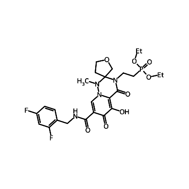 CCOP(=O)(CCN1C(=O)c2c(O)c(=O)c(C(=O)NCc3ccc(F)cc3F)cn2N(C)C12CCOC2)OCC